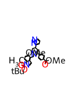 COC(=O)c1ccc([C@@H]2CC(c3cccnn3)CCN2Cc2c(OC)cc(C)c3c2ccn3C(=O)OC(C)(C)C)cc1